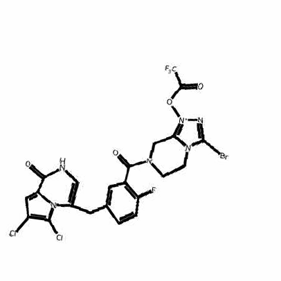 O=C(c1cc(Cc2c[nH]c(=O)c3cc(Cl)c(Cl)n23)ccc1F)N1CCn2c(Br)n[n+](OC(=O)C(F)(F)F)c2C1